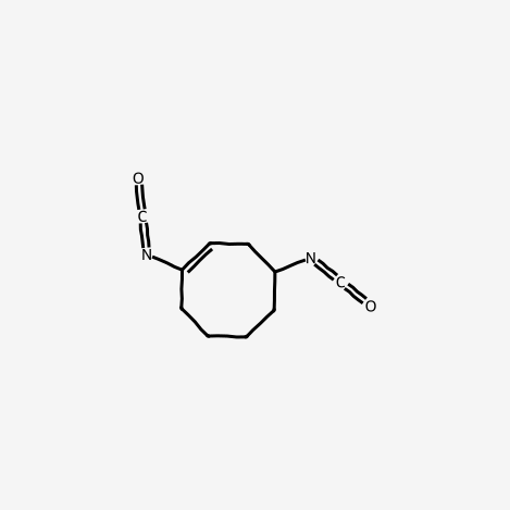 O=C=NC1=CCC(N=C=O)CCCC1